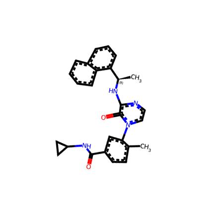 Cc1ccc(C(=O)NC2CC2)cc1-n1ccnc(N[C@H](C)c2cccc3ccccc23)c1=O